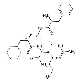 N=C(N)NCCC[C@H](C[C@H](CC1CCCCC1)C(=O)N[C@@H](CCCCN)C(N)=O)NC(=O)[C@@H](N)Cc1ccccc1